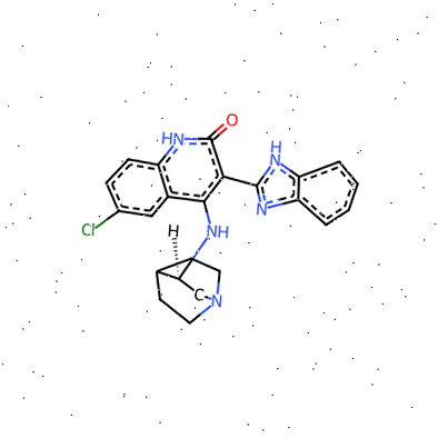 O=c1[nH]c2ccc(Cl)cc2c(N[C@H]2CN3CCC2CC3)c1-c1nc2ccccc2[nH]1